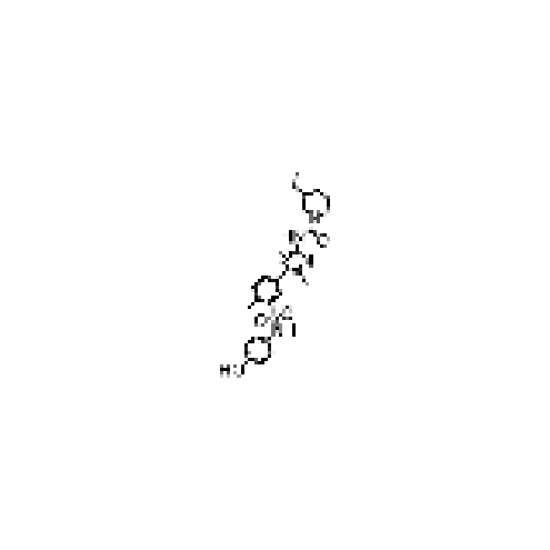 CCC1CCCN(C(=O)Nc2nc(C)c(-c3ccc(C)c(S(=O)(=O)Nc4ccc(O)cc4)c3)s2)C1